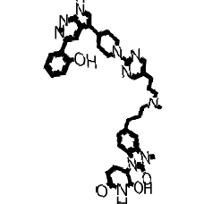 CN(CCCc1cnc(N2CCC(c3c[nH]c4nnc(-c5ccccc5O)cc34)CC2)nc1)CCCc1ccc2c(c1)n(C)c(=O)n2C1CCC(=O)NC1O